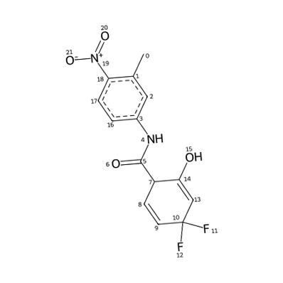 Cc1cc(NC(=O)C2C=CC(F)(F)C=C2O)ccc1[N+](=O)[O-]